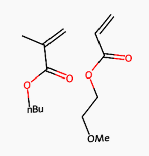 C=C(C)C(=O)OCCCC.C=CC(=O)OCCOC